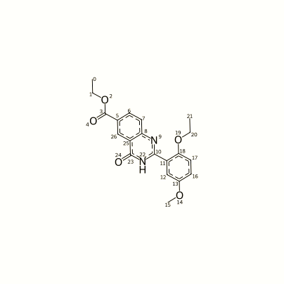 CCOC(=O)c1ccc2nc(-c3cc(OC)ccc3OCC)[nH]c(=O)c2c1